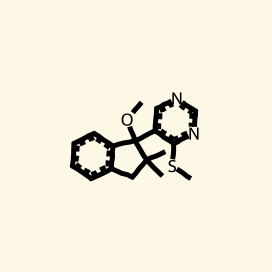 COC1(c2cncnc2SC)c2ccccc2CC1(C)C